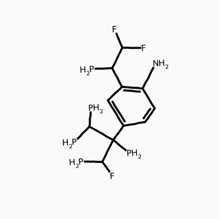 Nc1ccc(C(P)(C(F)P)C(P)P)cc1C(P)C(F)F